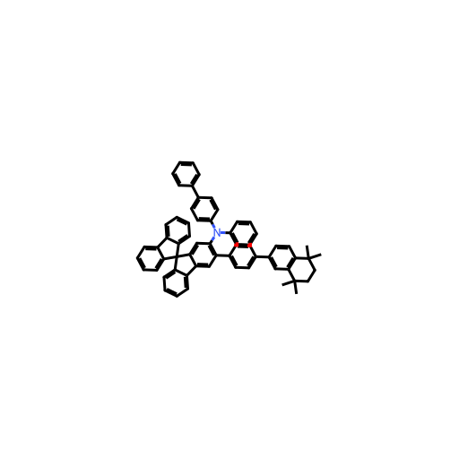 CC1(C)CCC(C)(C)c2cc(-c3ccc(-c4cc5c(cc4N(c4ccccc4)c4ccc(-c6ccccc6)cc4)C4(c6ccccc6-c6ccccc64)c4ccccc4-5)cc3)ccc21